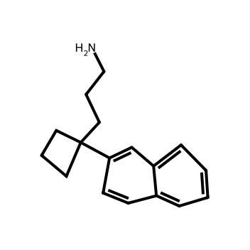 NCCCC1(c2ccc3ccccc3c2)CCC1